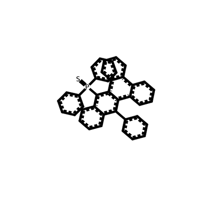 S=P(c1ccccc1)(c1ccccc1)c1c2ccccc2c(-c2ccccc2)c2c3ccccc3c3ccccc3c12